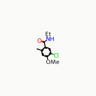 CCNC(=O)c1cc(Cl)c(OC)cc1C